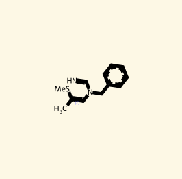 CS/C(C)=C\N(C=N)Cc1ccccc1